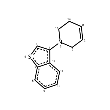 C1=CCN(c2csc3ccccc23)CC1